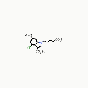 CCOC(=O)c1cn(CCCCC(=O)O)c2cc(OC)cc(Cl)c12